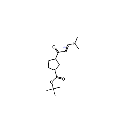 CN(C)/C=C/C(=O)C1CCN(C(=O)OC(C)(C)C)C1